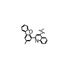 Cc1cc(-c2cc(S(C)(C)C)c3ccccc3n2)c2oc3ccccc3c2c1